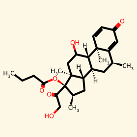 CCCC(=O)O[C@]1(C(=O)CO)[C@H](C)C[C@H]2[C@@H]3C[C@H](C)C4=CC(=O)C=C[C@]4(C)[C@H]3C(O)C[C@@]21C